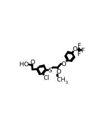 CCOC(COc1ccc(OC(F)(F)F)cc1)CSc1ccc(CC(=O)O)cc1Cl